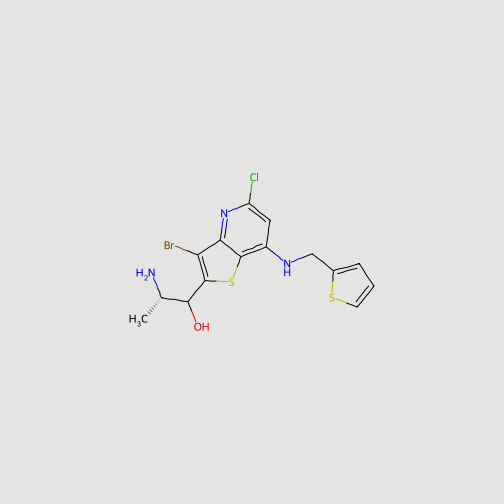 C[C@H](N)C(O)c1sc2c(NCc3cccs3)cc(Cl)nc2c1Br